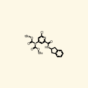 CC(C)(C)OC(=O)N(C(=O)OC(C)(C)C)c1cc(Cl)nc(C(=O)NC2Cc3ccccc3C2)c1